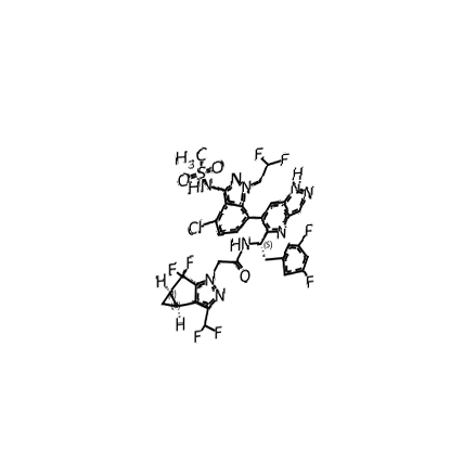 CS(=O)(=O)Nc1nn(CC(F)F)c2c(-c3cc4[nH]ncc4nc3[C@H](Cc3cc(F)cc(F)c3)NC(=O)Cn3nc(C(F)F)c4c3C(F)(F)[C@@H]3C[C@H]43)ccc(Cl)c12